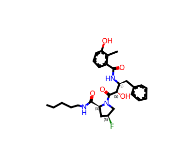 CCCCCNC(=O)[C@@H]1C[C@H](F)CN1C(=O)[C@@H](O)[C@H](Cc1ccccc1)NC(=O)c1cccc(O)c1C